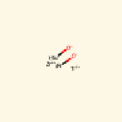 CC(C)(C)[O-].CC(C)[O-].[Ti+4].[Zr+4]